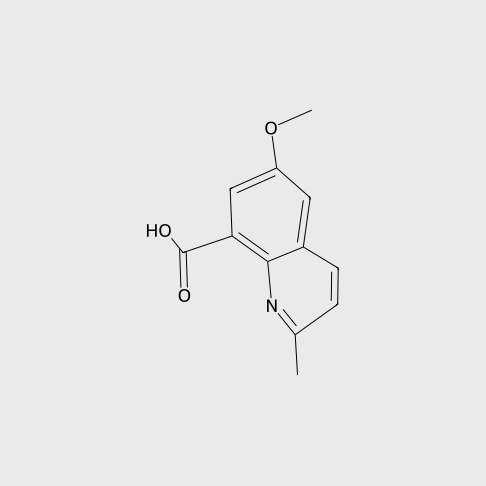 COc1cc(C(=O)O)c2nc(C)ccc2c1